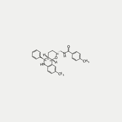 Cc1ccc(C(=O)NC[C@H]2CC[C@@H]3[C@H](O2)c2cc(C(F)(F)F)ccc2N[C@H]3c2ccccc2)cc1